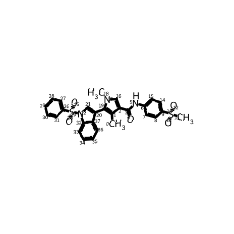 Cc1c(C(=O)Nc2ccc(S(C)(=O)=O)cc2)cn(C)c1-c1cn(S(=O)(=O)c2ccccc2)c2ccccc12